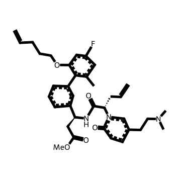 C=CCCCOc1cc(F)cc(C)c1-c1cccc([C@H](CC(=O)OC)NC(=O)[C@H](CC=C)n2cc(CCN(C)C)ccc2=O)c1